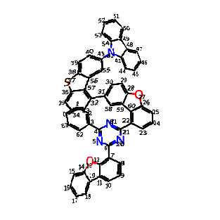 c1ccc(-c2nc(-c3cccc4c3oc3ccccc34)nc(-c3cccc4oc5ccc(-c6cccc7sc8ccc(-n9c%10ccccc%10c%10ccccc%109)cc8c67)cc5c34)n2)cc1